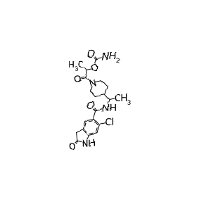 CC(OC(N)=O)C(=O)N1CCC(C(C)NC(=O)c2cc3c(cc2Cl)NC(=O)C3)CC1